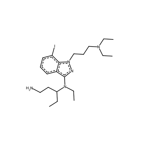 CCC(CCN)N(CC)c1nn(CCCN(CC)CC)c2c(I)cccc12